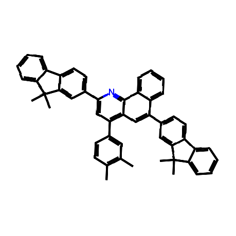 Cc1ccc(-c2cc(-c3ccc4c(c3)C(C)(C)c3ccccc3-4)nc3c2cc(-c2ccc4c(c2)C(C)(C)c2ccccc2-4)c2ccccc23)cc1C